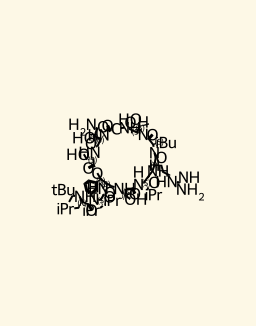 CC[C@H](C)C1NC(=O)[C@@H](CCCNC(=N)N)NC(=O)[C@H](CC(C)C)NC(=O)[C@H]([C@H](O)C(C)C)NC(=O)[C@@H](NC(=O)[C@H](CC(C)C)NC(=O)[C@@H](CC(C)C)NC(C)C(C)(C)C)[C@@H](c2ccccc2)OC(=O)[C@H](CO)NC(=O)[C@H]([C@H](O)C(N)=O)NC(=O)CNC(=O)[C@H]([C@H](C)O)NC1=O